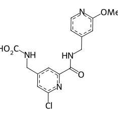 COc1cc(CNC(=O)c2cc(CNC(=O)O)cc(Cl)n2)ccn1